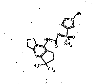 CC(C)n1ccc([S@@](N)(=O)=NC(=O)Nc2c3c(nc4c2CCC4(C)C)CCC3)n1